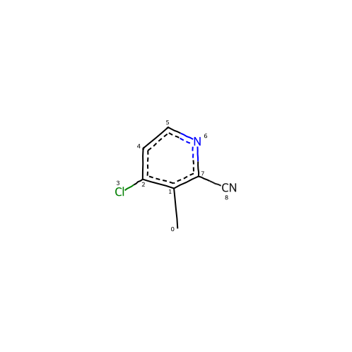 Cc1c(Cl)ccnc1C#N